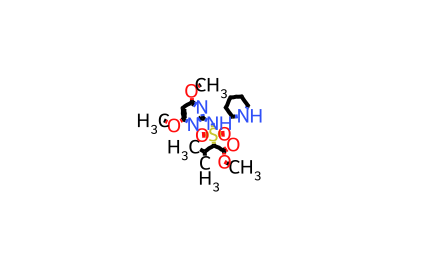 C1CCNCC1.COC(=O)C(C(C)C)S(=O)(=O)Nc1nc(OC)cc(OC)n1